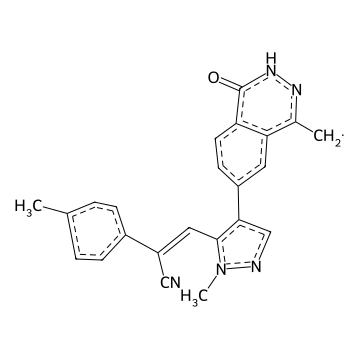 [CH2]c1n[nH]c(=O)c2ccc(-c3cnn(C)c3/C=C(\C#N)c3ccc(C)cc3)cc12